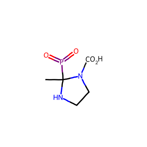 CC1(P(=O)=O)NCCN1C(=O)O